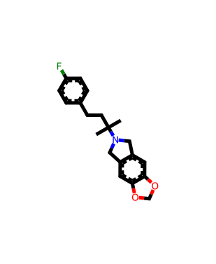 CC(C)(CCc1ccc(F)cc1)N1Cc2cc3c(cc2C1)OCO3